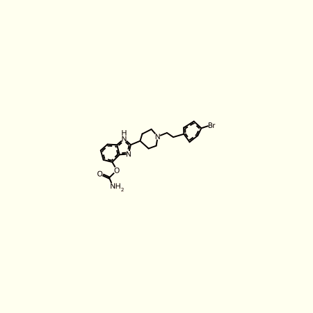 NC(=O)Oc1cccc2[nH]c(C3CCN(CCc4ccc(Br)cc4)CC3)nc12